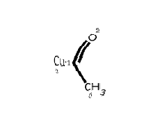 CC=O.[Cu]